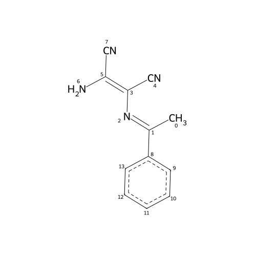 CC(=N/C(C#N)=C(\N)C#N)c1ccccc1